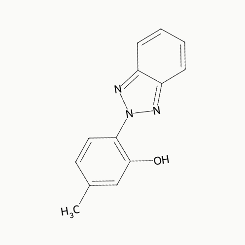 Cc1ccc(-n2nc3ccccc3n2)c(O)c1